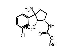 CC(C)(C)OC(=O)NN1CCC(N)(c2cccc(Cl)c2)[C@H]1C(=O)O